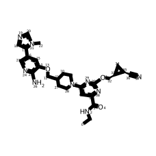 CCNC(=O)c1cc(N2CCC(COc3cc(-c4cncn4C)cnc3N)CC2)nc(OC[C@H]2C[C@H]2C#N)n1